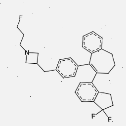 FCCCN1CC(Cc2ccc(C3=C(c4cccc5c4CCC5(F)F)CCCc4ccccc43)cc2)C1